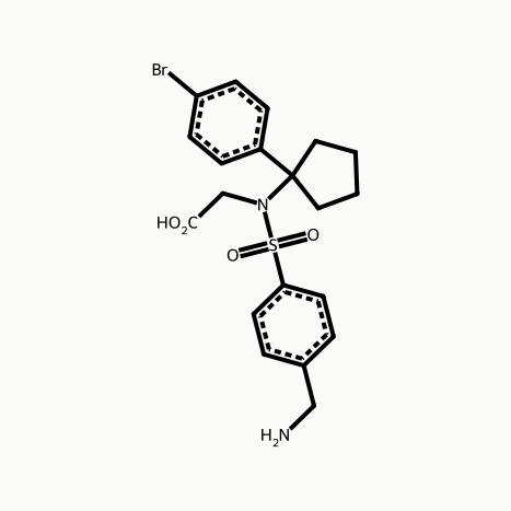 NCc1ccc(S(=O)(=O)N(CC(=O)O)C2(c3ccc(Br)cc3)CCCC2)cc1